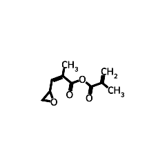 C=C(C)C(=O)OC(=O)C(C)=CC1CO1